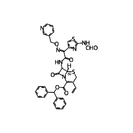 C=CC1=C(C(=O)OC(c2ccccc2)c2ccccc2)N2C(=O)C(NC(=O)C(=NOCc3cccnc3)c3csc(NC=O)n3)[C@@H]2SC1